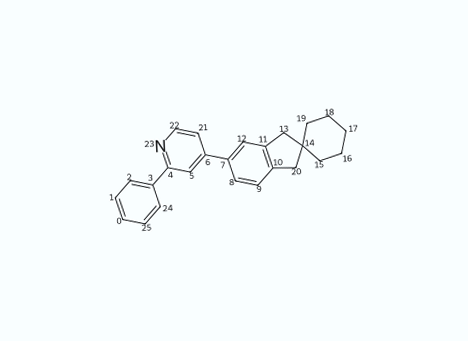 c1ccc(-c2cc(-c3ccc4c(c3)CC3(CCCCC3)C4)ccn2)cc1